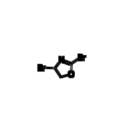 BrC1=NC(Br)CO1